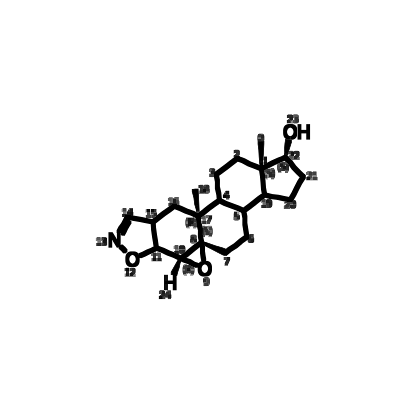 C[C@]12CCC3C(CC[C@@]45O[C@@H]4C4ON=CC4C[C@]35C)C1CC[C@@H]2O